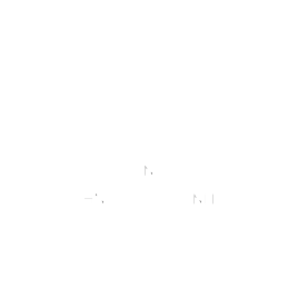 C1CCC(C2CNCC3CNCCN32)C1